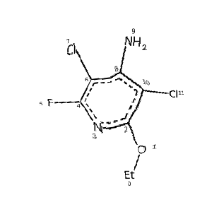 CCOc1nc(F)c(Cl)c(N)c1Cl